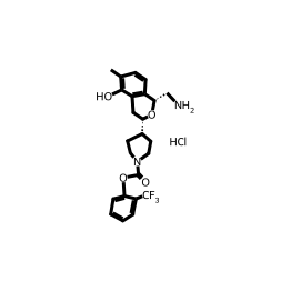 Cc1ccc2c(c1O)C[C@@H](C1CCN(C(=O)Oc3ccccc3C(F)(F)F)CC1)O[C@H]2CN.Cl